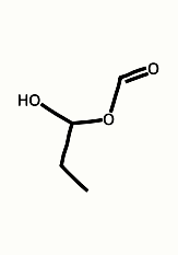 CCC(O)OC=O